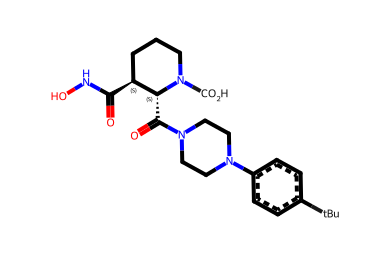 CC(C)(C)c1ccc(N2CCN(C(=O)[C@@H]3[C@@H](C(=O)NO)CCCN3C(=O)O)CC2)cc1